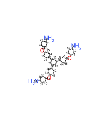 Nc1ccc(Oc2ccc(-c3cc(-c4ccc(Oc5ccc(N)cc5)cc4)cc(-c4ccc(Oc5ccc(N)cc5)cc4)c3)cc2)cc1